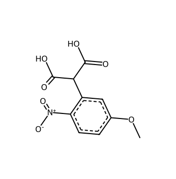 COc1ccc([N+](=O)[O-])c(C(C(=O)O)C(=O)O)c1